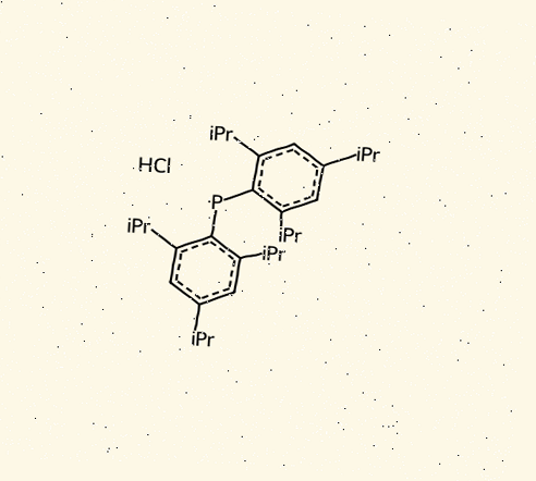 CC(C)c1cc(C(C)C)c([P]c2c(C(C)C)cc(C(C)C)cc2C(C)C)c(C(C)C)c1.Cl